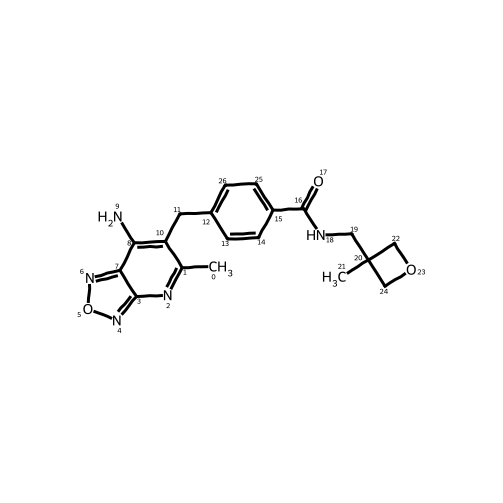 Cc1nc2nonc2c(N)c1Cc1ccc(C(=O)NCC2(C)COC2)cc1